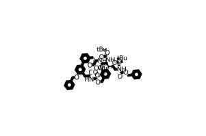 COC(=O)[C@H](Cc1cccc(-c2ccc(OCc3ccccc3)c(C[C@H](NC(=O)OCc3ccccc3)C(=O)O)c2)c1)NC(=O)[C@H](C[C@H](CNC(=O)OCc1ccccc1)O[Si](C)(C)C(C)(C)C)NC(=O)OC(C)(C)C